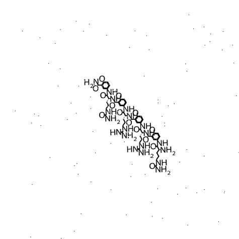 COc1ccc(NC(=O)[C@@H](CCCNC(N)=O)NC(=O)c2cc(NC(=O)[C@@H](CCCNC(=N)N)NC(=O)c3cc(NC(=O)[C@@H](CCCNC(=N)N)NC(=O)c4cc(NC(=O)[C@H](N)CCCNC(N)=O)ccc4OC)ccc3OC)ccc2OC)cc1C(N)=O